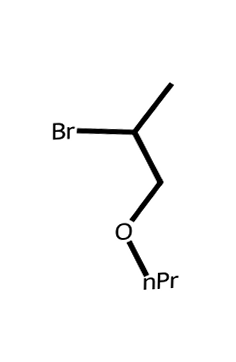 CCCOCC(C)Br